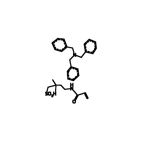 C=CC(=O)NCCC(C)(C)CS(=O)(=O)O.c1ccc(CN(Cc2ccccc2)Cc2ccccc2)cc1